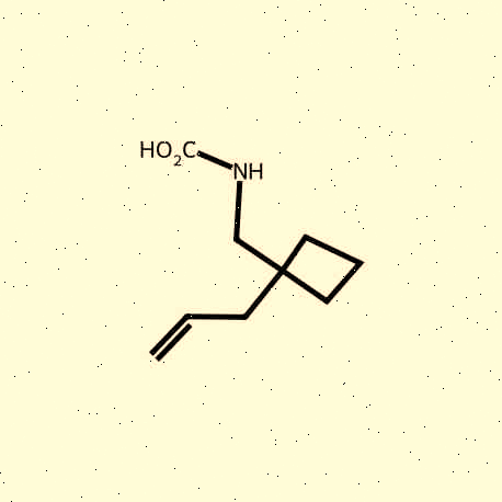 C=CCC1(CNC(=O)O)CCC1